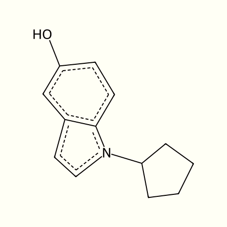 Oc1ccc2c(ccn2C2CCCC2)c1